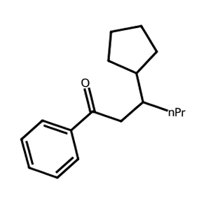 CCCC(CC(=O)c1ccccc1)C1CCCC1